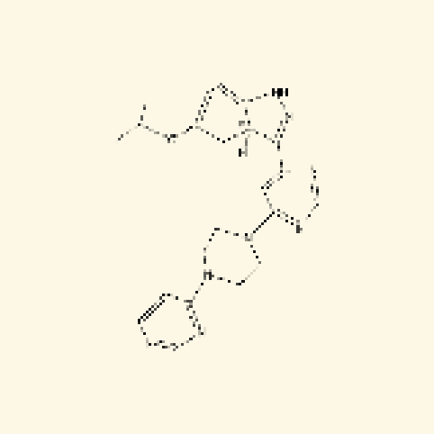 CC(C)OC1=CC=C2NN=C(c3cc(N4CCN(c5ccncn5)CC4)ncn3)[C@H]2C1